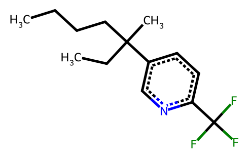 CCCCC(C)(CC)c1ccc(C(F)(F)F)nc1